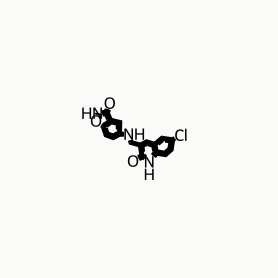 O=c1[nH]c2ccc(Cl)cc2cc1CNc1ccc2o[nH]c(=O)c2c1